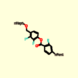 CCCCCCCOCc1ccc(OC(=O)c2ccc(CCCCC)cc2F)c(F)c1F